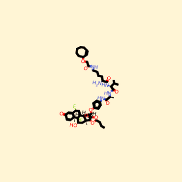 CCCC1O[C@@H]2C[C@H]3[C@@H]4C[C@H](F)C5=CC(=O)C=C[C@]5(C)[C@@]4(F)[C@@H](O)C[C@]3(C)[C@]2(C(=O)COc2ccc(NC(=O)[C@H](C)NC(=O)[C@@H](NC(=O)[C@@H](N)CCCCNC(=O)COC3C#CCCCCC3)C(C)C)cc2)O1